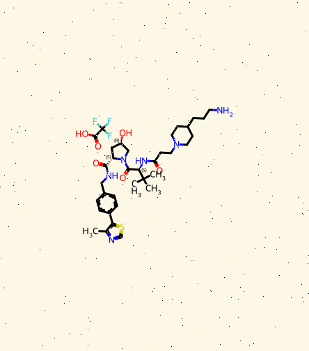 Cc1ncsc1-c1ccc(CNC(=O)[C@@H]2C[C@@H](O)CN2C(=O)[C@@H](NC(=O)CCN2CCC(CCCN)CC2)C(C)(C)C)cc1.O=C(O)C(F)(F)F